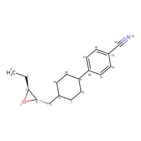 CC[C@@H]1O[C@H]1CC1CCC(c2ccc(C#N)cc2)CC1